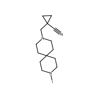 N#CC1(CN2CCC3(CCN(I)CC3)CC2)CC1